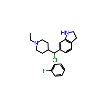 CCN1CCC(C(Cl)c2ccc3c(c2)NCC3)CC1.Fc1ccccc1